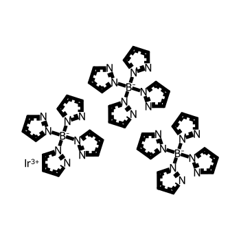 [Ir+3].c1cnn([B-](n2cccn2)(n2cccn2)n2cccn2)c1.c1cnn([B-](n2cccn2)(n2cccn2)n2cccn2)c1.c1cnn([B-](n2cccn2)(n2cccn2)n2cccn2)c1